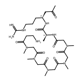 CC(=O)C[C@H](CCCNC(=N)N)NC(=O)[C@H](C)NC(=O)CN(C)C(=O)CN(C)C(=O)CN(C)C(=O)CN(C)C(=O)CN(C)C(=O)CCN